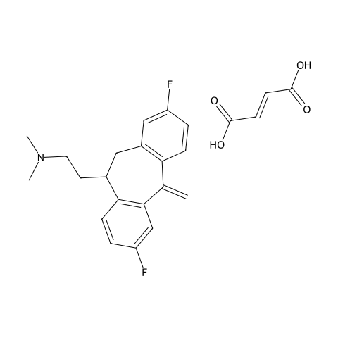 C=C1c2ccc(F)cc2CC(CCN(C)C)c2ccc(F)cc21.O=C(O)C=CC(=O)O